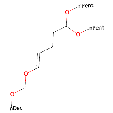 CCCCCCCCCCOCOC=CCCC(OCCCCC)OCCCCC